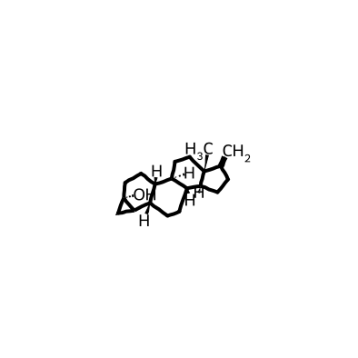 C=C1CC[C@H]2[C@@H]3CC[C@@H]4C5C[C@@]5(O)CC[C@@H]4[C@H]3CC[C@]12C